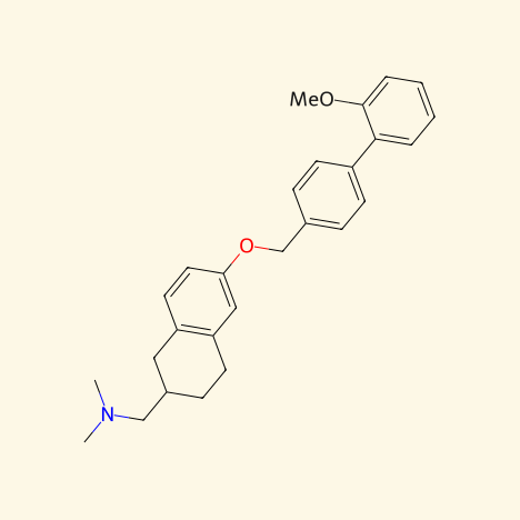 COc1ccccc1-c1ccc(COc2ccc3c(c2)CCC(CN(C)C)C3)cc1